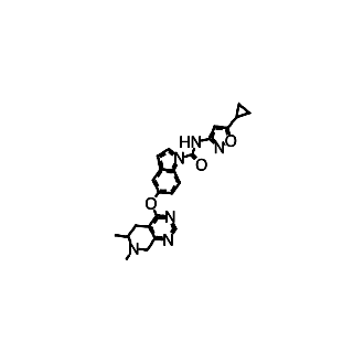 CC1Cc2c(ncnc2Oc2ccc3c(ccn3C(=O)Nc3cc(C4CC4)on3)c2)CN1C